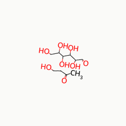 CC(=O)CCO.O=CC(O)C(O)C(O)C(O)CO